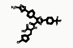 Cc1nc(-c2ccc(-c3oc(-c4ccc(C(F)(F)F)cc4)nc3C(=O)NC(Cc3ccc(Cl)cc3)C(=O)O)cc2)no1